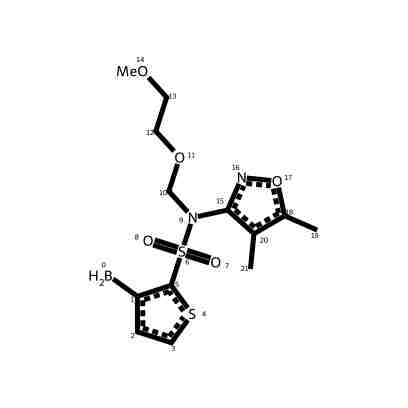 Bc1ccsc1S(=O)(=O)N(COCCOC)c1noc(C)c1C